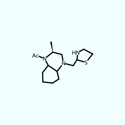 CC(=O)N1C2CCCCC2N(CC2NCCS2)C[C@@H]1C